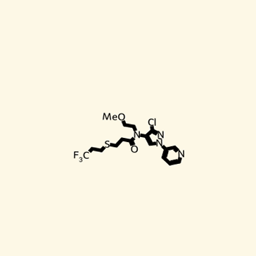 COCCN(C(=O)CCSCCC(F)(F)F)c1cn(-c2cccnc2)nc1Cl